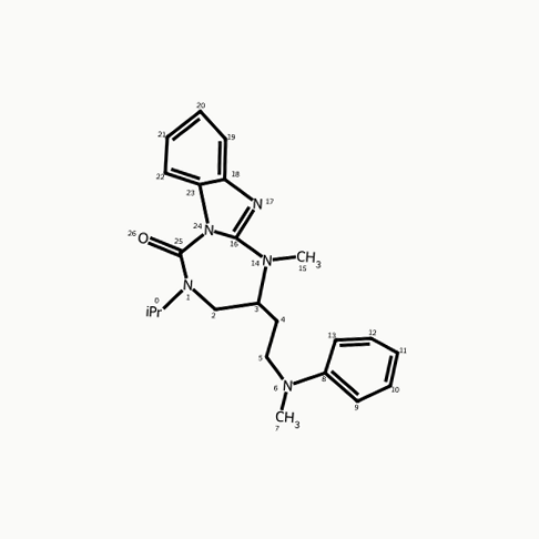 CC(C)N1CC(CCN(C)c2ccccc2)N(C)c2nc3ccccc3n2C1=O